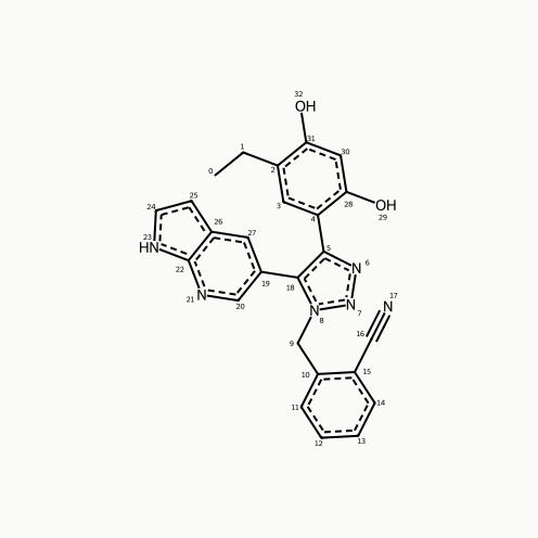 CCc1cc(-c2nnn(Cc3ccccc3C#N)c2-c2cnc3[nH]ccc3c2)c(O)cc1O